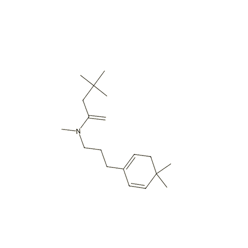 C=C(CC(C)(C)C)N(C)CCCC1=CCC(C)(C)C=C1